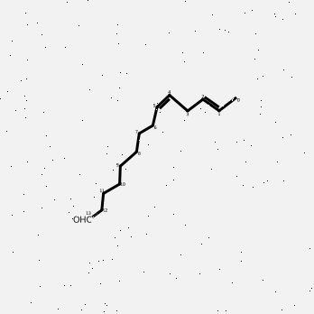 C/C=C/C/C=C\CCCCCCCC=O